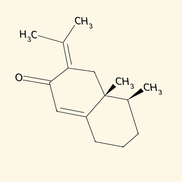 CC(C)=C1C[C@@]2(C)C(=CC1=O)CCC[C@@H]2C